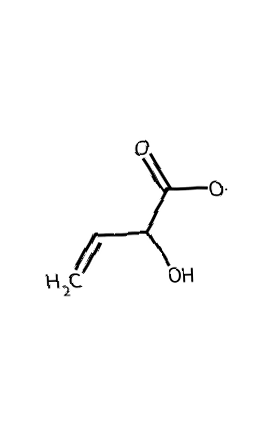 C=CC(O)C([O])=O